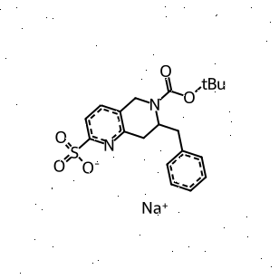 CC(C)(C)OC(=O)N1Cc2ccc(S(=O)(=O)[O-])nc2CC1Cc1ccccc1.[Na+]